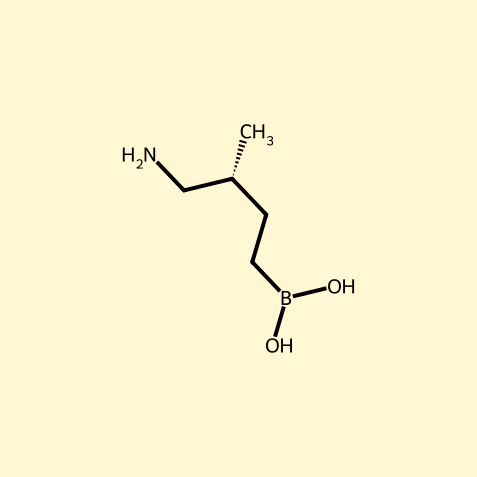 C[C@@H](CN)CCB(O)O